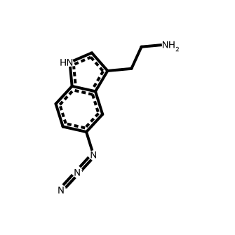 [N-]=[N+]=Nc1ccc2[nH]cc(CCN)c2c1